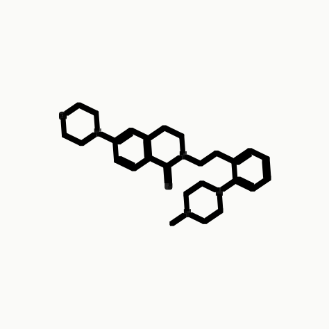 CN1CCN(c2ccccc2CCN2CCc3cc(N4CCOCC4)ccc3C2=O)CC1